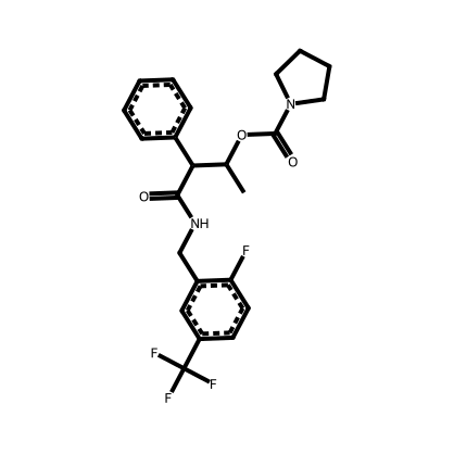 CC(OC(=O)N1CCCC1)C(C(=O)NCc1cc(C(F)(F)F)ccc1F)c1ccccc1